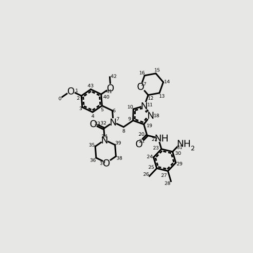 COc1ccc(CN(Cc2cn(C3CCCCO3)nc2C(=O)Nc2cc(C)c(C)cc2N)C(=O)N2CCOCC2)c(OC)c1